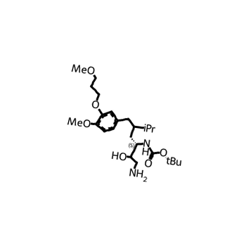 COCCCOc1cc(CC(C[C@H](NC(=O)OC(C)(C)C)C(O)CN)C(C)C)ccc1OC